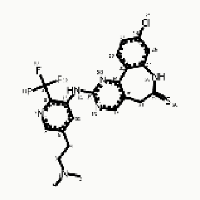 CN(C)CCc1cnc(C(F)(F)F)c(Nc2ncc3c(n2)-c2ccc(Cl)cc2NC(=S)C3)c1